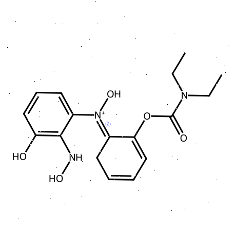 CCN(CC)C(=O)OC1=CC=CC/C1=[N+](/O)c1cccc(O)c1NO